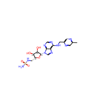 Cc1cnc(CNc2ncnc3c2ncn3[C@@H]2O[C@H](CNS(N)(=O)=O)[C@@H](O)[C@H]2O)cn1